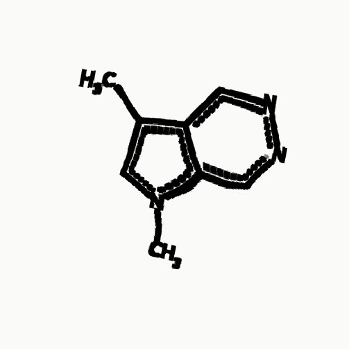 Cc1cn(C)c2cnncc12